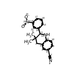 CC1(C)Cc2cc(C#N)ccc2NC1c1cccc([N+](=O)[O-])c1